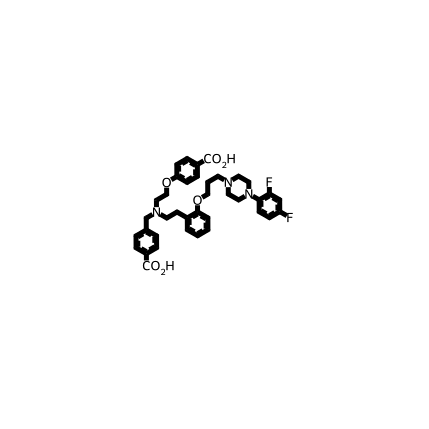 O=C(O)c1ccc(CN(CCOc2ccc(C(=O)O)cc2)CCc2ccccc2OCCCN2CCN(c3ccc(F)cc3F)CC2)cc1